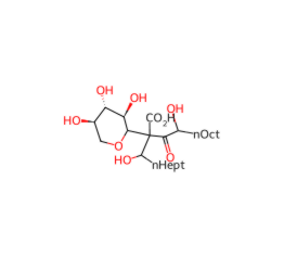 CCCCCCCCC(O)C(=O)C(C(=O)O)(C(O)CCCCCCC)C1OC[C@@H](O)[C@H](O)[C@H]1O